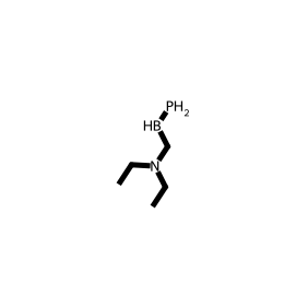 CCN(CC)CBP